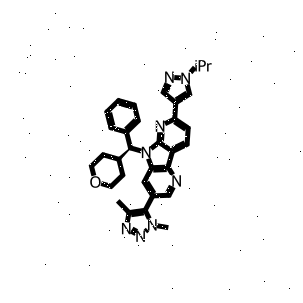 Cc1nnn(C)c1-c1cnc2c3ccc(-c4cnn(C(C)C)c4)nc3n([C@H](c3ccccc3)C3CCOCC3)c2c1